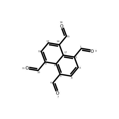 O=Cc1ccc(C=O)c2c(C=O)ccc(C=O)c12